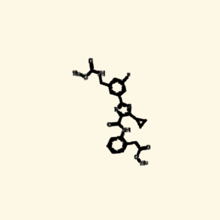 CC(C)(C)OC(=O)Cc1ccccc1NC(=O)c1nc(-c2cc(F)cc(CNC(=O)OC(C)(C)C)c2)sc1C1CC1